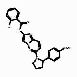 COc1ccc(C2CCCN2c2ccc3nc(NC(=O)c4ccccc4Cl)cn3n2)cc1